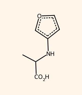 CC(Nc1ccoc1)C(=O)O